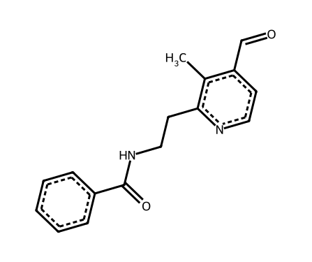 Cc1c(C=O)ccnc1CCNC(=O)c1ccccc1